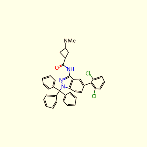 CNC1CC(C(=O)Nc2nn(C(c3ccccc3)(c3ccccc3)c3ccccc3)c3ccc(-c4c(Cl)cccc4Cl)cc23)C1